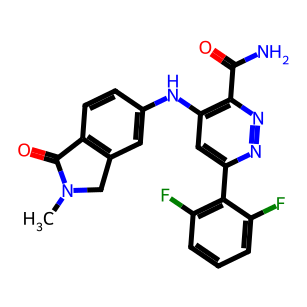 CN1Cc2cc(Nc3cc(-c4c(F)cccc4F)nnc3C(N)=O)ccc2C1=O